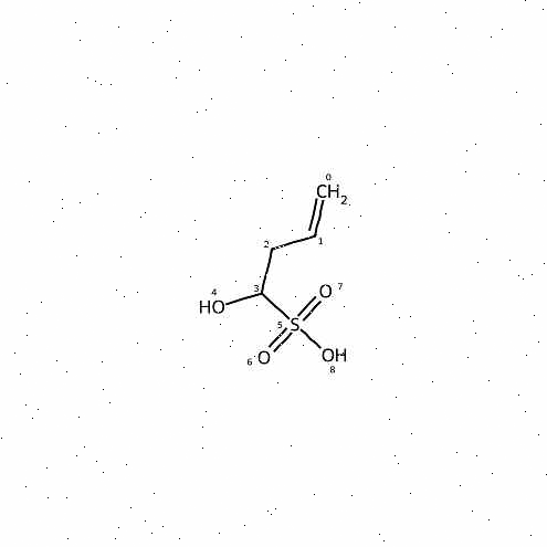 C=CCC(O)S(=O)(=O)O